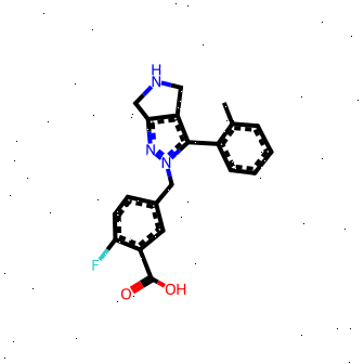 Cc1ccccc1-c1c2c(nn1Cc1ccc(F)c(C(=O)O)c1)CNC2